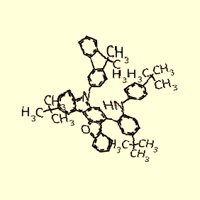 CC(C)(C)c1ccc(Nc2ccc(C(C)(C)C)cc2-c2cc3c(c4cc(C(C)(C)C)ccc4n3-c3ccc4c(c3)-c3ccccc3C4(C)C)c3oc4ccccc4c23)cc1